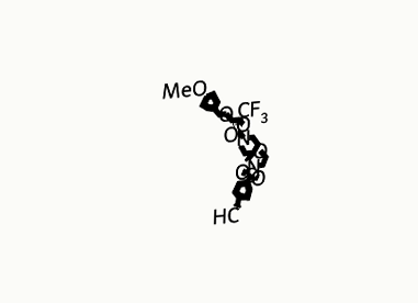 C#Cc1ccc(S(=O)(=O)N2CCOC3(CCN(C(=O)O[C@H](COCc4ccc(OC)cc4)C(F)(F)F)CC3)C2)cc1